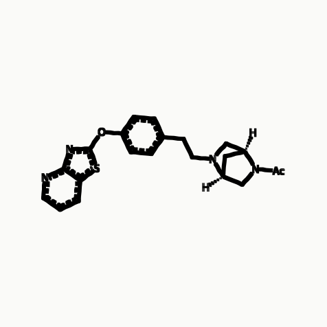 CC(=O)N1C[C@@H]2C[C@H]1CN2CCc1ccc(Oc2nc3ncccc3s2)cc1